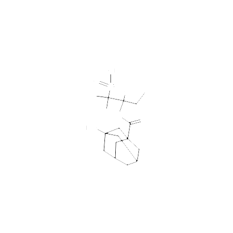 CCC(F)(OC(=O)C12CC3CC(CC(O)(C3)C1)C2)C(F)(F)S(=O)(=O)O